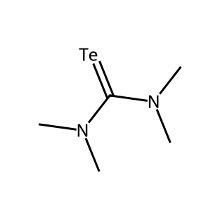 CN(C)C(=[Te])N(C)C